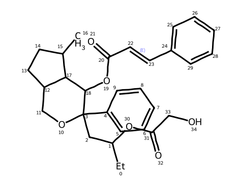 CCC(CC1(c2ccccc2)OCC2CCC(C)C2C1OC(=O)/C=C/c1ccccc1)OC(=O)CO